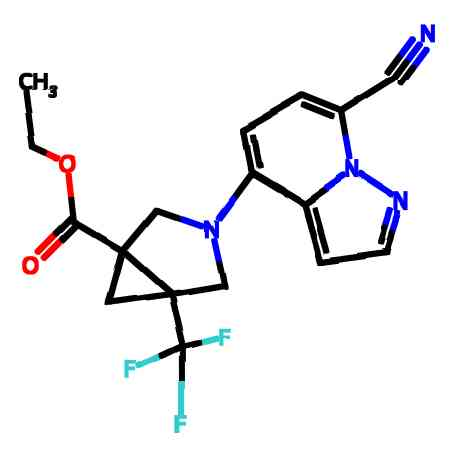 CCOC(=O)C12CN(c3ccc(C#N)n4nccc34)CC1(C(F)(F)F)C2